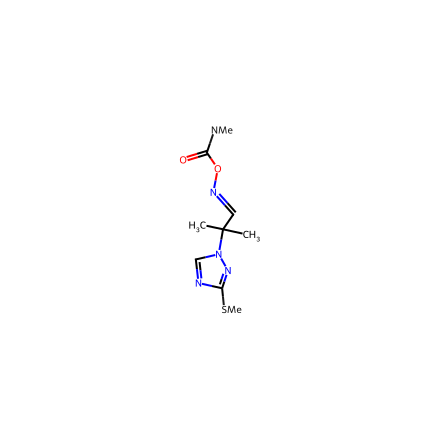 CNC(=O)ON=CC(C)(C)n1cnc(SC)n1